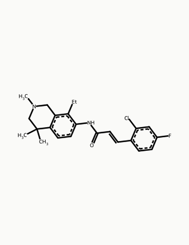 CCc1c(NC(=O)/C=C/c2ccc(F)cc2Cl)ccc2c1CN(C)CC2(C)C